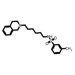 Cc1cccc(S(=O)(=O)NCCCCCCN2CCc3ccccc3C2)c1